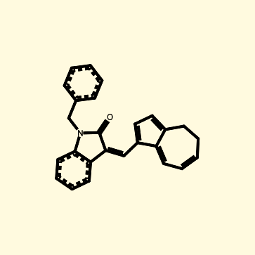 O=C1C(=CC2=CC=C3CCC=CC=C23)c2ccccc2N1Cc1ccccc1